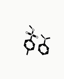 CN(C)c1ccccc1.COS(=O)(=O)c1ccc(C)cc1